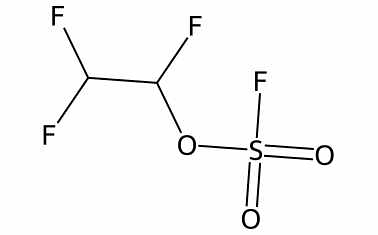 O=S(=O)(F)OC(F)C(F)F